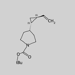 C=C[C@@H]1C[C@H]1C1CCN(C(=O)OC(C)(C)C)CC1